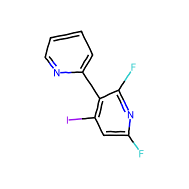 Fc1cc(I)c(-c2ccccn2)c(F)n1